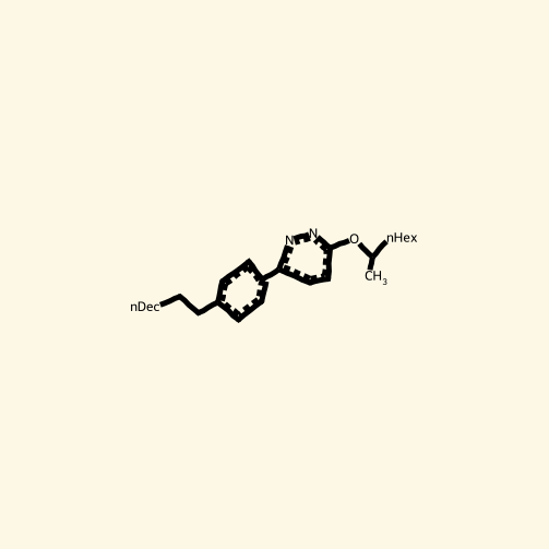 CCCCCCCCCCCCc1ccc(-c2ccc(OC(C)CCCCCC)nn2)cc1